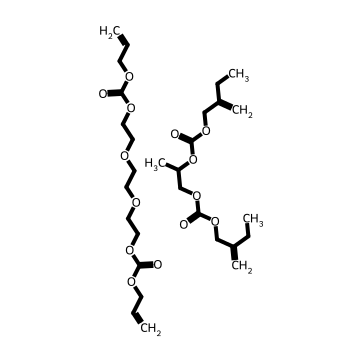 C=C(CC)COC(=O)OCC(C)OC(=O)OCC(=C)CC.C=CCOC(=O)OCCOCCOCCOC(=O)OCC=C